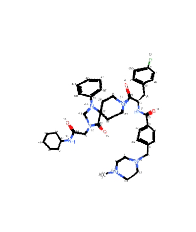 CN1CCN(Cc2ccc(C(=O)N[C@H](Cc3ccc(Cl)cc3)C(=O)N3CCC4(CC3)C(=O)N(CC(=O)NC3CCCCC3)CN4c3ccccc3)cc2)CC1